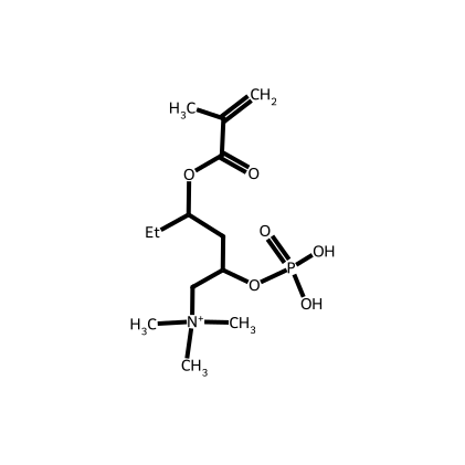 C=C(C)C(=O)OC(CC)CC(C[N+](C)(C)C)OP(=O)(O)O